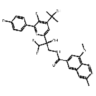 COc1cc(C(=O)NCC(O)(c2cc(C(C)(C)O)c(F)c(-c3ccc(F)cc3)n2)C(F)F)cc2cc(C)nnc12